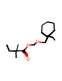 CCC(C)(C)C(=O)OCOCC1(C)CCCCC1